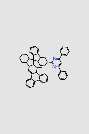 CC1C2C(=CC3C4CCCCC4C4(c5ccccc5C5CC(c6nc(-c7ccccc7)cc(-c7ccccc7)n6)C=CC54)C13)c1ccccc1-c1ccccc12